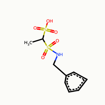 CC(S(=O)(=O)O)S(=O)(=O)NCc1ccccc1